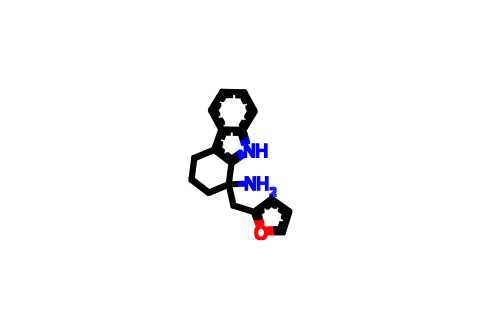 NC1(Cc2ccco2)CCCc2c1[nH]c1ccccc21